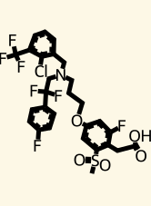 CS(=O)(=O)c1cc(OCCCN(Cc2cccc(C(F)(F)F)c2Cl)CC(F)(F)c2ccc(F)cc2)cc(F)c1CC(=O)O